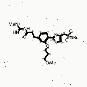 CNC(=N)NC(=O)CCc1ccc(-c2nc(CS(=O)(=O)C(C)(C)C)cs2)c(OCCCOC)c1